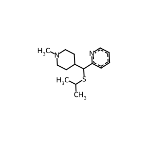 CC(C)SC(c1ccccn1)C1CCN(C)CC1